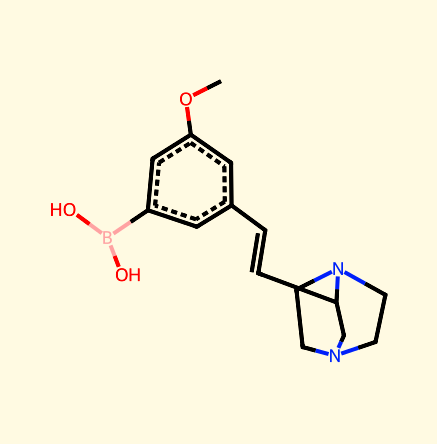 COc1cc(/C=C/C2CN3CCN2CC3)cc(B(O)O)c1